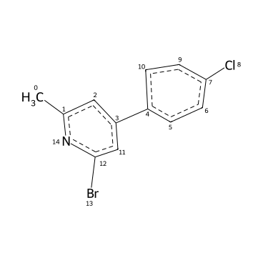 Cc1cc(-c2ccc(Cl)cc2)cc(Br)n1